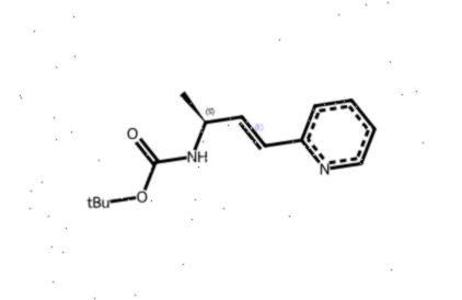 C[C@@H](/C=C/c1ccccn1)NC(=O)OC(C)(C)C